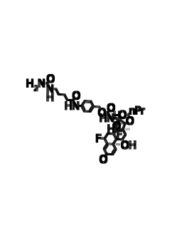 CCCC1O[C@@H]2CC3[C@@H]4C[C@H](F)C5=CC(=O)C=C[C@]5(C)[C@@]4(F)[C@@H](O)C[C@]3(C)[C@]2(C(=O)CNC(=O)OCc2ccc(NC(=O)CCCCNC(N)=O)cc2)O1